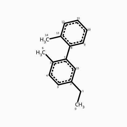 CCc1ccc(C)c(-c2ccc[c]c2C)c1